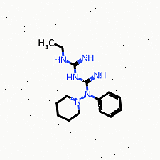 CCNC(=N)NC(=N)N(c1ccccc1)N1CCCCC1